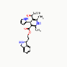 COC(=O)C1=C(C)NC(C)=C(C(=O)OCCC2NCc3ccccc32)C1c1ccc[nH]1